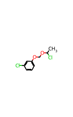 CC(Cl)OCOc1cccc(Cl)c1